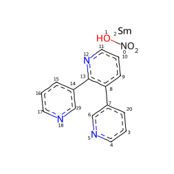 O=[N+]([O-])O.[Sm].c1cncc(-c2cccnc2-c2cccnc2)c1